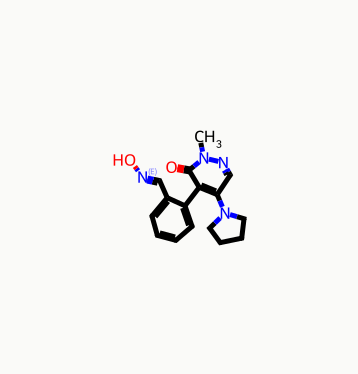 Cn1ncc(N2CCCC2)c(-c2ccccc2/C=N/O)c1=O